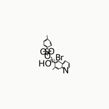 Cc1ccc(S(=O)(=O)OC[C@@H](O)c2c(C)cc3ncccc3c2Br)cc1